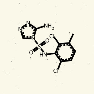 Cc1ccc(Cl)c(NS(=O)(=O)n2cnnc2N)c1Cl